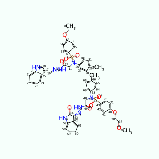 CCOc1ccc(S(=O)(=O)N(CC(=O)NN=Cc2c[nH]c3ccccc23)c2ccc(C)cc2)cc1.COCCOc1ccc(S(=O)(=O)N(CC(=O)NN=C2C(=O)Nc3ccccc32)c2ccc(C)cc2)cc1